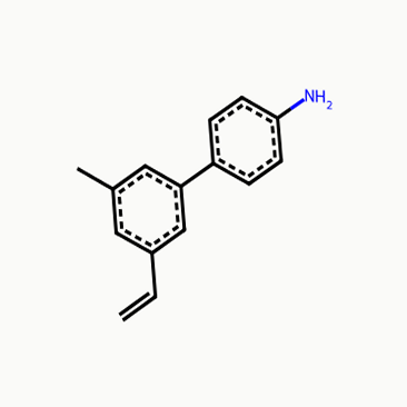 C=Cc1cc(C)cc(-c2ccc(N)cc2)c1